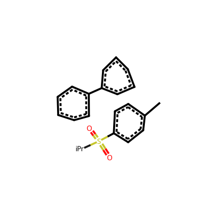 Cc1ccc(S(=O)(=O)C(C)C)cc1.c1ccc(-c2ccccc2)cc1